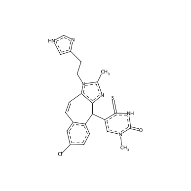 Cc1nc2c(n1CCc1c[nH]cn1)C=Cc1cc(Cl)ccc1C2c1cn(C)c(=O)[nH]c1=S